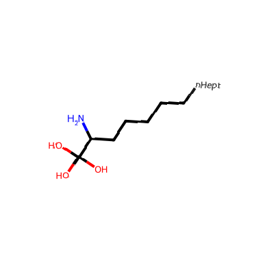 CCCCCCCCCCCCC(N)C(O)(O)O